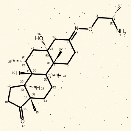 C[C@H](N)CON=C1CC[C@]2(C)[C@H]3CC[C@]4(C)C(=O)CC[C@H]4[C@@H]3[C@H](C)C[C@@]2(O)C1